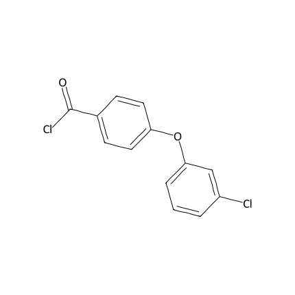 O=C(Cl)c1ccc(Oc2cccc(Cl)c2)cc1